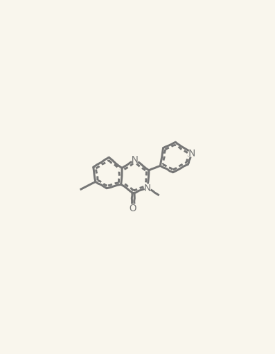 Cc1ccc2nc(-c3ccncc3)n(C)c(=O)c2c1